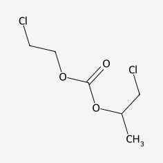 CC(CCl)OC(=O)OCCCl